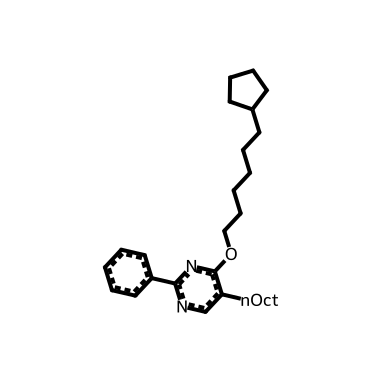 CCCCCCCCc1cnc(-c2ccccc2)nc1OCCCCCCC1CCCC1